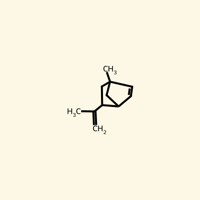 C=C(C)C1CC2(C)C=CC1C2